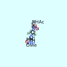 COC(=O)NC1[C@H]2CN(c3c(F)cc(N4C[C@H](CNC(C)=O)OC4=O)cc3F)C[C@@H]12